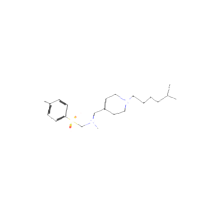 Cc1ccc(S(=O)(=O)CN(C)CC2CCN(CCCCC(C)C)CC2)cc1